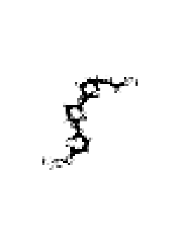 COc1ccc(-c2ccc(-c3ccc(CCS)s3)s2)s1